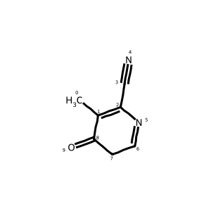 CC1=C(C#N)N=CCC1=O